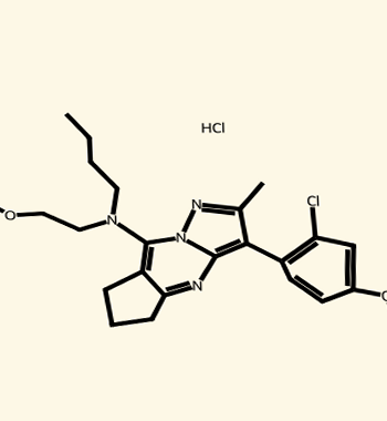 CCCCN(CCOC)c1c2c(nc3c(-c4ccc(OC)cc4Cl)c(C)nn13)CCC2.Cl